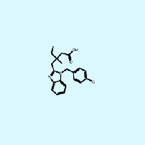 CCC(C)(CC(=O)O)Cc1nc2ccccc2n1Cc1ccc(Cl)cc1